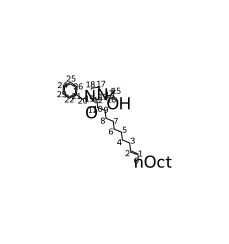 CCCCCCCCC=CCCCCCCCC(=O)C1=[N+](C(C)O)CCN1Cc1ccccc1